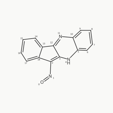 O=Nc1c2[nH]c3ccccc3nc-2c2ccccc12